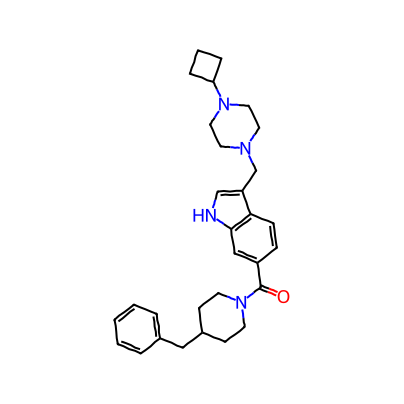 O=C(c1ccc2c(CN3CCN(C4CCC4)CC3)c[nH]c2c1)N1CCC(Cc2ccccc2)CC1